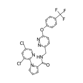 O=C(NCc1ccc(Oc2ccc(C(F)(F)F)cc2)nn1)c1cccn1-c1ncc(Cl)cc1Cl